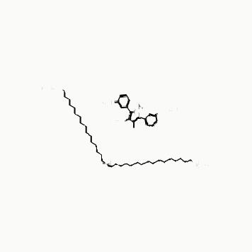 CCCCCCCCCCCCCCCCCCCCCCCCC[CH2][Pd][CH2]CCCCCCCCCCCCCCCCCCCCCCCCC.CCCCCCCCc1cccc(C2=C(C)C(CCCC)=C(c3cccc(CCCCCCCC)c3)[N+]2=[N-])c1